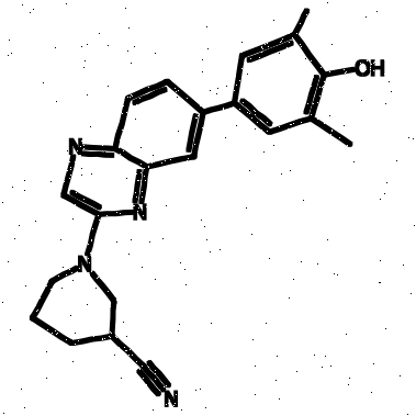 Cc1cc(-c2ccc3ncc(N4CCCC(C#N)C4)nc3c2)cc(C)c1O